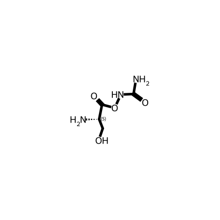 NC(=O)NOC(=O)[C@@H](N)CO